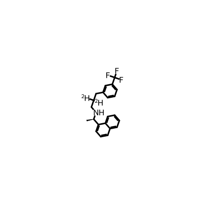 [2H]C([2H])(CN[C@H](C)c1cccc2ccccc12)Cc1cccc(C(F)(F)F)c1